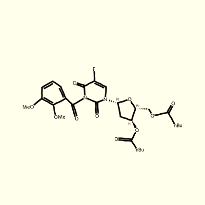 CCCCC(=O)OC[C@H]1O[C@@H](n2cc(F)c(=O)n(C(=O)c3cccc(OC)c3OC)c2=O)C[C@@H]1OC(=O)CCCC